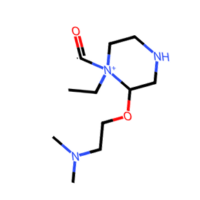 CC[N+]1([C]=O)CCNCC1OCCN(C)C